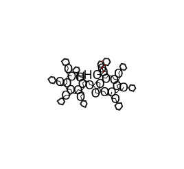 OC(COc1ccccc1)COC(COc1ccccc1)COC(COc1ccccc1)COC(COc1ccccc1)COC(COc1ccccc1)COC1COC2C(OCC(COc3ccccc3)OCC(COc3ccccc3)OCC(COc3ccccc3)OCC(COc3ccccc3)OCC(O)COc3ccccc3)COC12